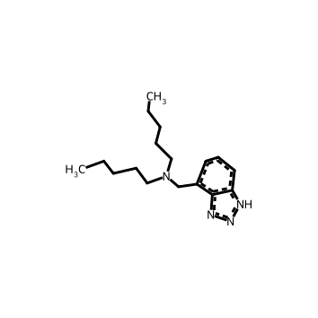 CCCCCN(CCCCC)Cc1cccc2[nH]nnc12